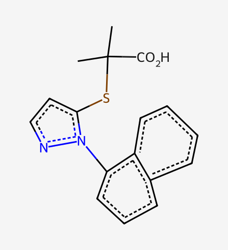 CC(C)(Sc1ccnn1-c1cccc2ccccc12)C(=O)O